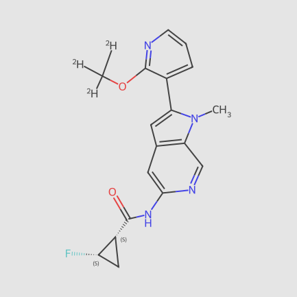 [2H]C([2H])([2H])Oc1ncccc1-c1cc2cc(NC(=O)[C@@H]3C[C@@H]3F)ncc2n1C